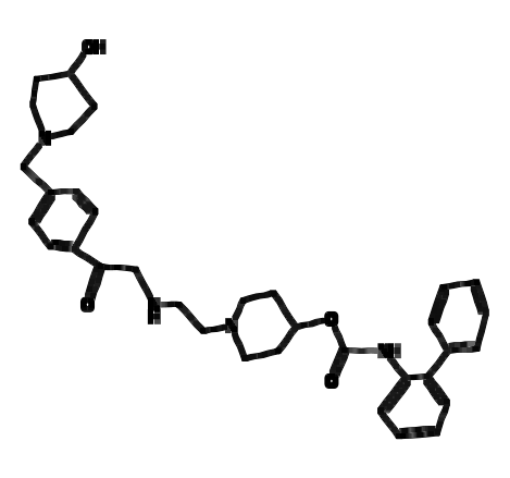 O=C(Nc1ccccc1-c1ccccc1)OC1CCN(CCNCC(=O)c2ccc(CN3CCC(O)CC3)cc2)CC1